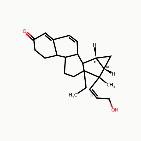 CCC12CCC3C4CCC(=O)C=C4C=CC3C1[C@@H]1C[C@@H]1C2(C)/C=C\CO